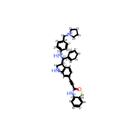 O=C(C#Cc1ccc2c(c1)NC/C2=C(\Nc1ccc(CN2CCCC2)cc1)C1=CCCC=C1)Nc1ccccc1F